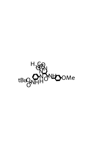 COc1ccc(CNC(=O)c2cnc(S(C)(=O)=O)nc2Nc2cccc(NC(=O)OC(C)(C)C)c2)cc1